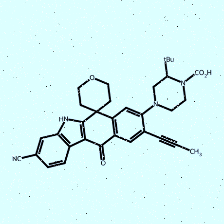 CC#Cc1cc2c(cc1N1CCN(C(=O)O)C(C(C)(C)C)C1)C1(CCOCC1)c1[nH]c3cc(C#N)ccc3c1C2=O